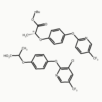 CC(Oc1ccc(Oc2ncc(C(F)(F)F)cc2Cl)cc1)C(=O)O.CCCCOC(=O)[C@@H](C)Oc1ccc(Oc2ccc(C(F)(F)F)cn2)cc1